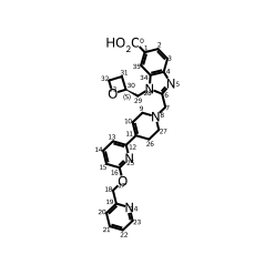 O=C(O)c1ccc2nc(CN3CC=C(c4cccc(OCc5ccccn5)n4)CC3)n(C[C@@H]3CCO3)c2c1